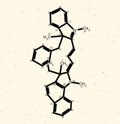 CCC1(C)/C(=C\C=C\C2=[N+](C)c3ccccc3C2(C)Cc2ccccc2)N(C)c2c1ccc1ccccc21